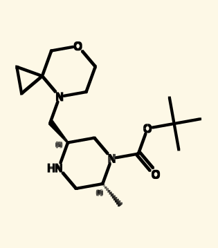 C[C@@H]1CN[C@@H](CN2CCOCC23CC3)CN1C(=O)OC(C)(C)C